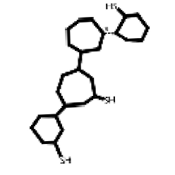 SC1CCCC(C2CCC(C3CCCC[C@H](C4CCCCC4S)C3)CC(S)C2)C1